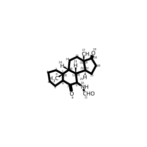 C[C@]12CCCCC1C(=O)C(NC=O)[C@@H]1[C@H]2CC[C@]2(C)C(=O)CC[C@@H]12